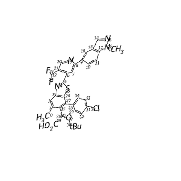 Cc1cc2nc(-c3cc(-c4ccc5c(cnn5C)c4)ncc3C(F)F)sc2c(-c2ccc(Cl)cc2)c1[C@H](OC(C)(C)C)C(=O)O